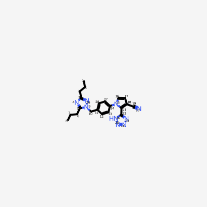 CCCc1nc(CCC)n(Cc2ccc(-n3ccc(C#N)c3-c3nnn[nH]3)cc2)n1